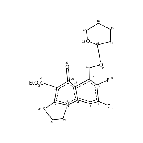 CCOC(=O)c1c2n(c3cc(Cl)c(F)c(COC4CCCCO4)c3c1=O)CCS2